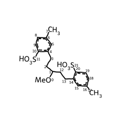 COC(CCc1cc(C)ccc1S(=O)(=O)O)CCc1cc(C)ccc1S(=O)(=O)O